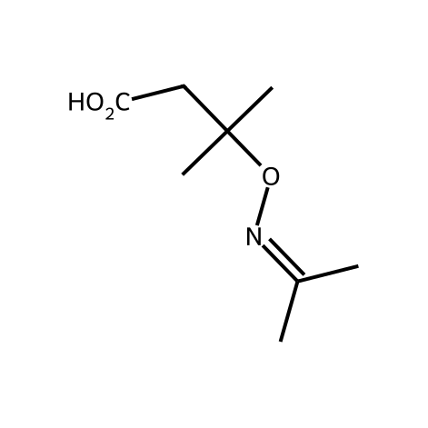 CC(C)=NOC(C)(C)CC(=O)O